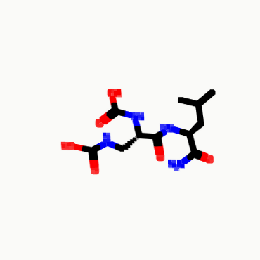 CC(C)C[C@H](NC(=O)[C@H](CNC(=O)O)NC(=O)O)C(N)=O